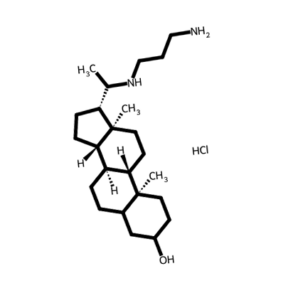 CC(NCCCN)[C@H]1CC[C@H]2[C@@H]3CCC4CC(O)CC[C@]4(C)[C@H]3CC[C@]12C.Cl